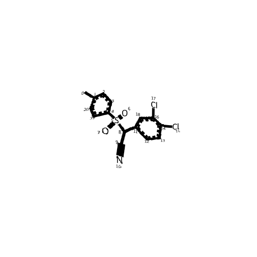 Cc1ccc(S(=O)(=O)C(C#N)c2ccc(Cl)c(Cl)c2)cc1